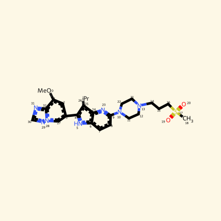 COc1cc(-c2[nH]c3ccc(N4CCN(CCCS(C)(=O)=O)CC4)nc3c2C(C)C)cn2ncnc12